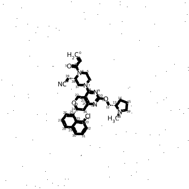 C=CC(=O)N1CCN(c2nc(OC[C@@H]3CCCN3C)nc3c2CO[C@@H](c2cccc4cccc(Cl)c24)C3)C[C@@H]1CC#N